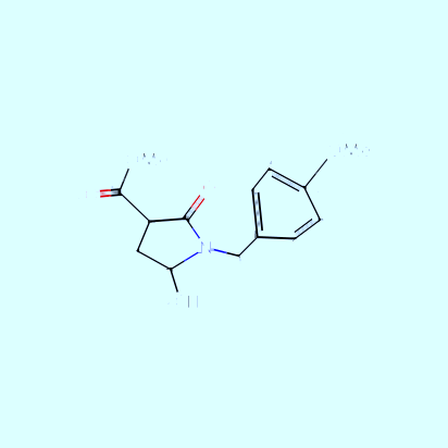 COC(=O)C1CC(C)N(Cc2ccc(OC)cc2)C1=O